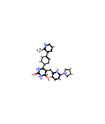 O=c1[nH]c(C2CC=C(c3cccnc3C(F)(F)F)CC2)c(Cc2cccc(N3CCCC3)n2)c(=O)[nH]1